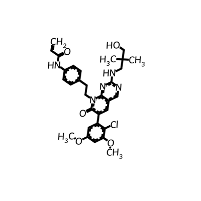 C=CC(=O)Nc1ccc(CCn2c(=O)c(-c3cc(OC)cc(OC)c3Cl)cc3cnc(NCC(C)(C)CO)nc32)cc1